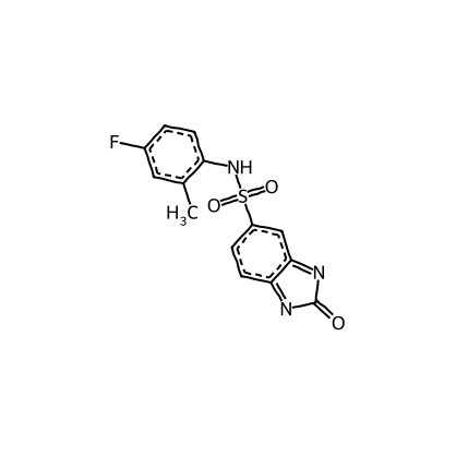 Cc1cc(F)ccc1NS(=O)(=O)c1ccc2c(c1)=NC(=O)N=2